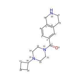 O=C(c1ccc2c(c1)CCNC2)N1CCN(C2CCC2)CC1